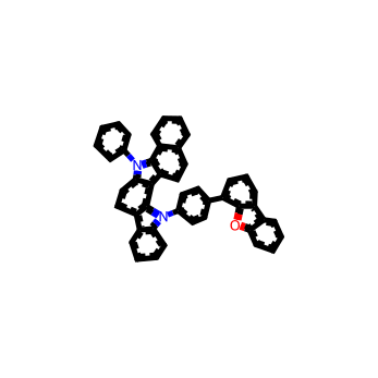 c1ccc(-n2c3ccc4c5ccccc5n(-c5ccc(-c6cccc7c6oc6ccccc67)cc5)c4c3c3ccc4ccccc4c32)cc1